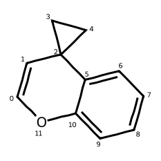 C1=CC2(CC2)c2ccccc2O1